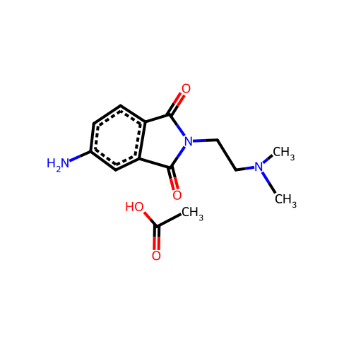 CC(=O)O.CN(C)CCN1C(=O)c2ccc(N)cc2C1=O